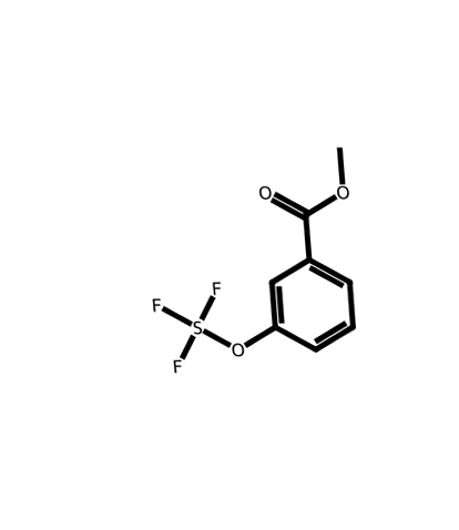 COC(=O)c1cccc(OS(F)(F)F)c1